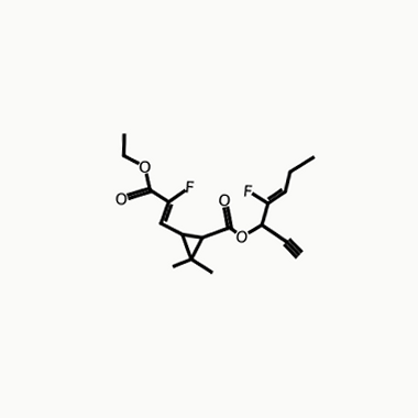 C#CC(OC(=O)C1C(C=C(F)C(=O)OCC)C1(C)C)C(F)=CCC